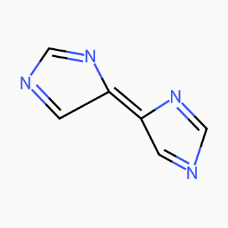 C1=NC=NC1=C1C=NC=N1